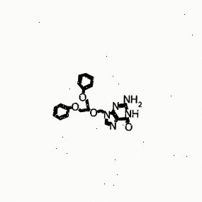 Nc1nc2c(ncn2COC(COc2ccccc2)COc2ccccc2)c(=O)[nH]1